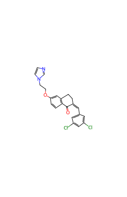 O=C1C(=Cc2cc(Cl)cc(Cl)c2)CCc2cc(OCCn3ccnc3)ccc21